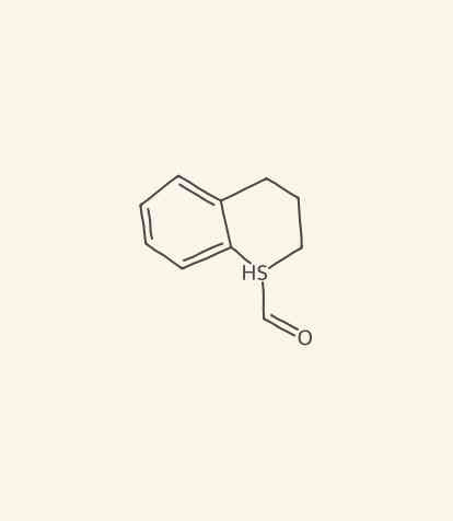 O=C[SH]1CCCc2ccccc21